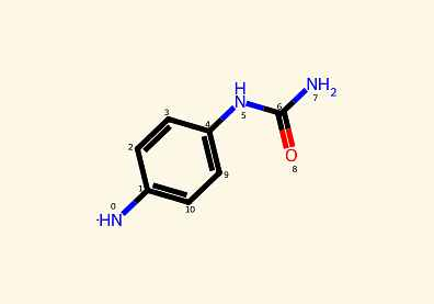 [NH]c1ccc(NC(N)=O)cc1